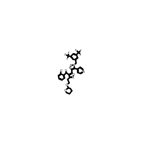 O=C(c1ccccc1Cl)c1c(CCOC2CCCCO2)noc1-c1nnn(Cc2cc(C(F)(F)F)cc(C(F)(F)F)c2)c1-c1ccncc1